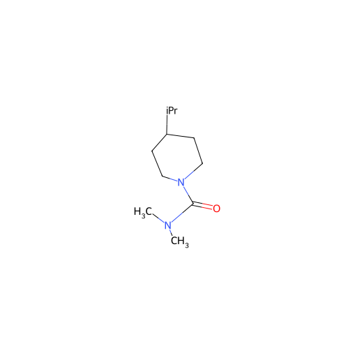 CC(C)C1CCN(C(=O)N(C)C)CC1